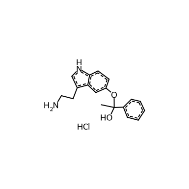 CC(O)(Oc1ccc2[nH]cc(CCN)c2c1)c1ccccc1.Cl